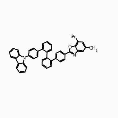 Cc1cc(C(C)C)c2oc(-c3ccc(-c4ccccc4-c4ccccc4-c4ccc(-n5c6ccccc6c6ccccc65)cc4)cc3)nc2c1